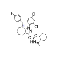 C[C@@H](NC(=O)Oc1nn(-c2ccc(Cl)cc2Cl)c2c1CCCC/C2=C\c1ccc(F)cc1)C1CCCCC1